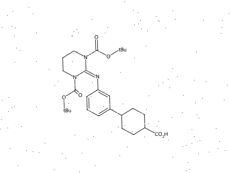 CC(C)(C)OC(=O)N1CCCN(C(=O)OC(C)(C)C)C1=Nc1cccc(C2CCC(C(=O)O)CC2)c1